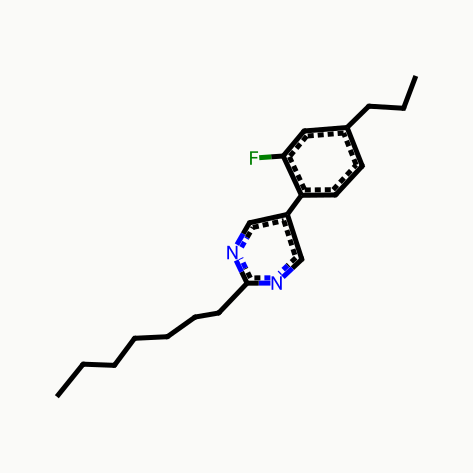 CCCCCCCc1ncc(-c2ccc(CCC)cc2F)cn1